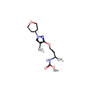 CC(CCOc1nn(C2CCOCC2)cc1[N+](=O)[O-])NC(=O)OC(C)(C)C